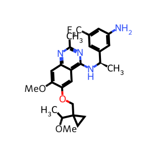 COc1cc2nc(C)nc(N[C@H](C)c3cc(N)cc(C(F)(F)F)c3)c2cc1OCC1(C(C)OC)CC1